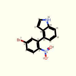 O=[N+]([O-])c1ccc(Br)cc1-c1cccc2[nH]ccc12